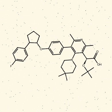 Cc1nc(C)c([C@H](OC(C)(C)C)C(=O)O)c(N2CCC(C)(C)CC2)c1-c1ccc(OC2CCCC2c2ccc(F)cc2)cc1